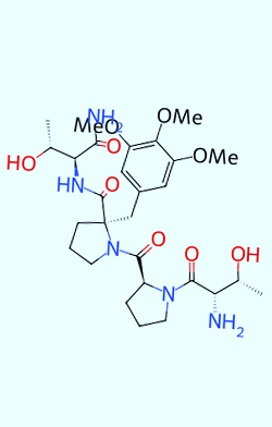 COc1cc(C[C@@]2(C(=O)N[C@H](C(N)=O)[C@@H](C)O)CCCN2C(=O)[C@@H]2CCCN2C(=O)[C@@H](N)[C@@H](C)O)cc(OC)c1OC